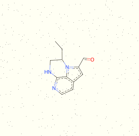 CCC1CNc2nccc3cc(C=O)n1c23